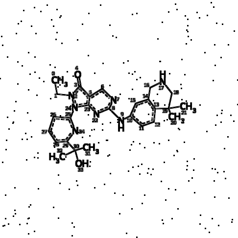 CCn1c(=O)c2cnc(Nc3ccc4c(c3)CNCC4(C)C)nc2n1-c1cccc(C(C)(C)O)n1